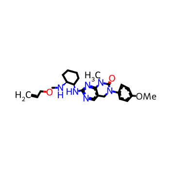 C=CCOCN[C@H]1CCCC[C@H]1Nc1ncc2c(n1)N(C)C(=O)N(c1ccc(OC)cc1)C2